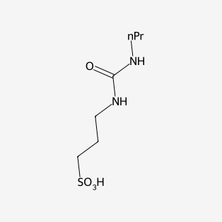 CCCNC(=O)NCCCS(=O)(=O)O